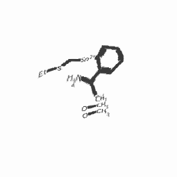 CCS[CH2][Sn+2][c]1ccccc1C(C)N.C[O-].C[O-]